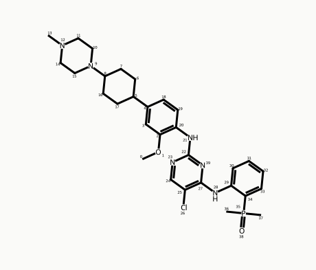 COc1cc(C2CCC(N3CCN(C)CC3)CC2)ccc1Nc1ncc(Cl)c(Nc2ccccc2P(C)(C)=O)n1